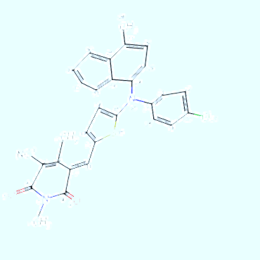 CC1=C(C#N)C(=O)N(C)C(=O)/C1=C/c1ccc(N(c2ccc(Cl)cc2)c2ccc(C)c3ccccc23)s1